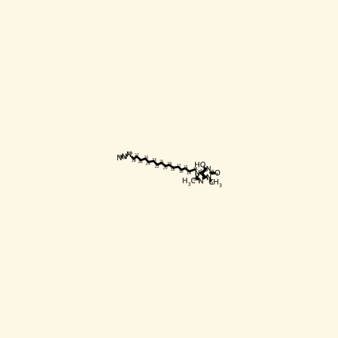 Cc1nc2c(c(O)nc(=O)n2C)n1CCCCCCCCCCCCCCCCN=[N+]=[N-]